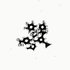 CC1CCCN1c1cc(C(=O)O)ccc1N(Cc1cc(C2CC2)cc(C2CC2)c1)C(=O)CN(Cc1ccc(F)cc1Cl)S(=O)(=O)c1c(F)c(F)c(F)c(F)c1F